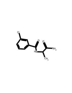 CC(NC(=O)c1cccc(Cl)c1)C(N)=O